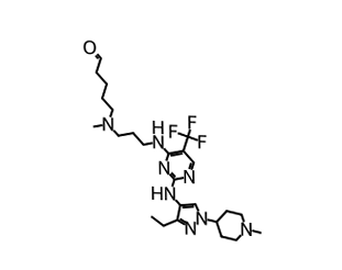 CCc1nn(C2CCN(C)CC2)cc1Nc1ncc(C(F)(F)F)c(NCCCN(C)CCCCC=O)n1